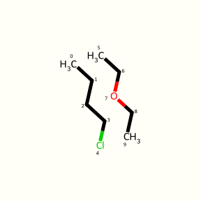 CCCCCl.CCOCC